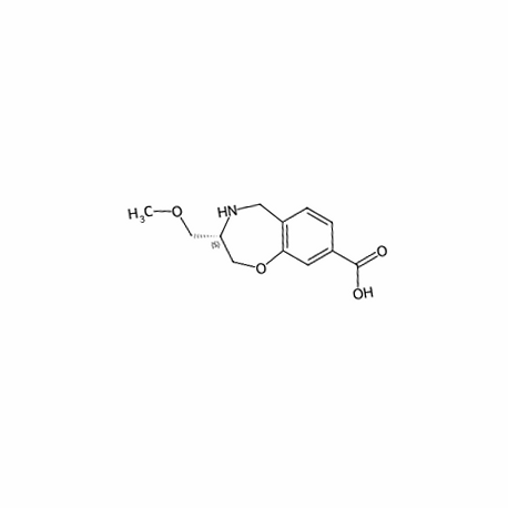 COC[C@H]1COc2cc(C(=O)O)ccc2CN1